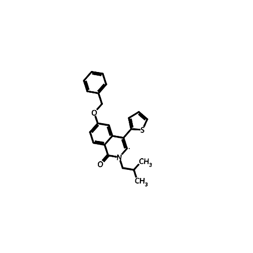 CC(C)Cn1[c]c(-c2cccs2)c2cc(OCc3ccccc3)ccc2c1=O